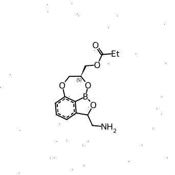 CCC(=O)OC[C@@H]1COc2cccc3c2B(OC3CN)O1